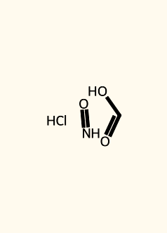 Cl.N=O.O=CO